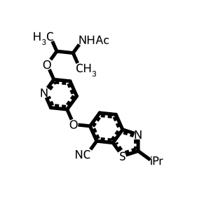 CC(=O)NC(C)C(C)Oc1ccc(Oc2ccc3nc(C(C)C)sc3c2C#N)cn1